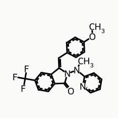 COc1ccc(/C=C2/c3cc(C(F)(F)F)ccc3C(=O)N2N(C)c2ccccn2)cc1